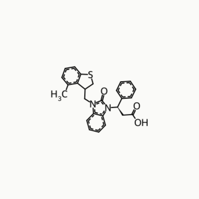 Cc1cccc2c1C(Cn1c(=O)n([C@H](CC(=O)O)c3ccccc3)c3ccccc31)CS2